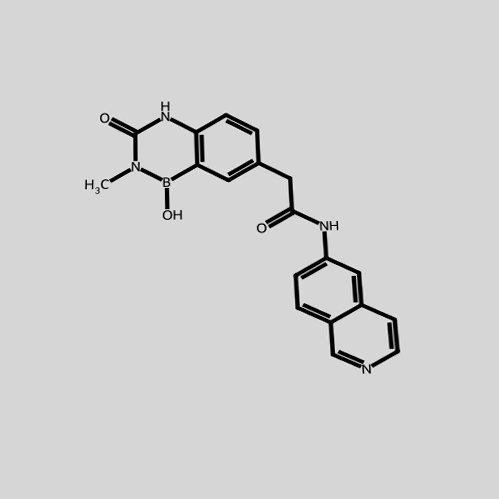 CN1B(O)c2cc(CC(=O)Nc3ccc4cnccc4c3)ccc2NC1=O